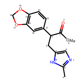 COC(=O)C(Cc1cnc(C)[nH]1)c1ccc2c(c1)OCO2